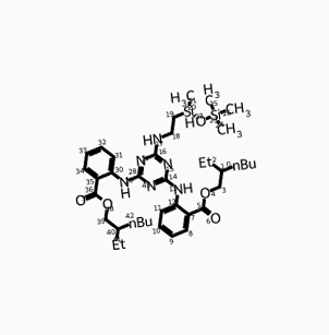 CCCCC(CC)COC(=O)c1ccccc1Nc1nc(NCC[SiH](C)O[Si](C)(C)C)nc(Nc2ccccc2C(=O)OCC(CC)CCCC)n1